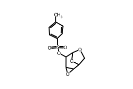 Cc1ccc(S(=O)(=O)OC2C3OCC(O3)C3OC32)cc1